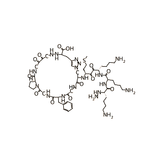 CSCC[C@H](NC1Cn2cc(nn2)CC(C(=O)O)NNCC(=O)C(=O)CNC(=O)[C@@H]2CCCN2C(=O)CNC(=O)C(Cc2ccccc2)NC(=O)CNC1=O)C(=O)C(=O)[C@H](CCCCN)NC(=O)C(CCCCN)NC(=O)[C@H](CCCCN)NN